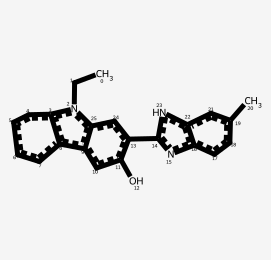 CCn1c2ccccc2c2cc(O)c(-c3nc4ccc(C)cc4[nH]3)cc21